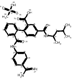 CC(C)CC(C)NC(=O)c1ccc(-c2ccccc2C(=O)Nc2ccc(C(=N)N)cc2)c(C(=O)O)c1.CS(=O)(=O)O